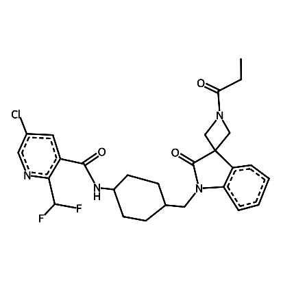 CCC(=O)N1CC2(C1)C(=O)N(CC1CCC(NC(=O)c3cc(Cl)cnc3C(F)F)CC1)c1ccccc12